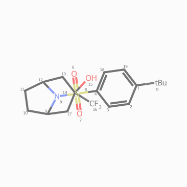 CC(C)(C)c1ccc(S(=O)(=O)N2C3CCC2CC(O)(C(F)(F)F)C3)cc1